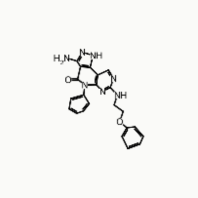 Nc1n[nH]c2c1c(=O)n(-c1ccccc1)c1nc(NCCOc3ccccc3)ncc21